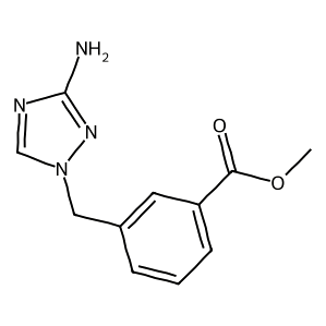 COC(=O)c1cccc(Cn2cnc(N)n2)c1